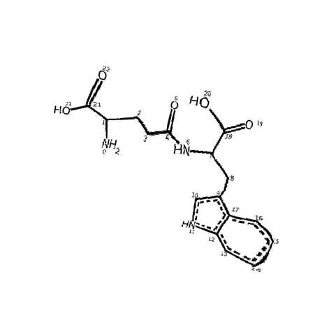 NC(CCC(=O)NC(Cc1c[nH]c2ccccc12)C(=O)O)C(=O)O